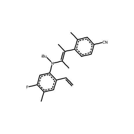 C=Cc1cc(C)c(F)cc1N(/C(C)=C(\C)c1ccc(C#N)cc1C)C(C)CC